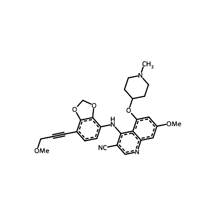 COCC#Cc1ccc(Nc2c(C#N)cnc3cc(OC)cc(OC4CCN(C)CC4)c23)c2c1OCO2